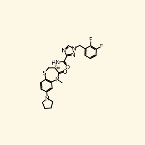 CN1C(=O)[C@@H](NC(=O)c2ncn(Cc3cccc(F)c3F)n2)CSc2ccc(N3CCCC3)cc21